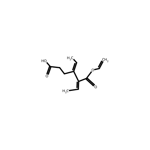 C=COC(=O)C(=CC)C(=CC)CCC(=O)O